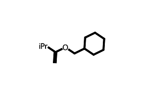 C=C(OCC1CCCCC1)C(C)C